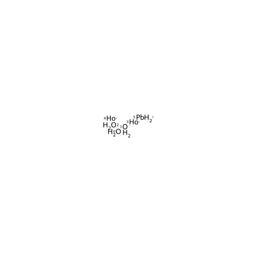 O.O.O.[Ho].[Ho].[PbH2]